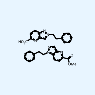 COC(=O)c1ccc2c(cnn2CCc2ccccc2)n1.O=C(O)c1ccc2nn(CCc3ccccc3)cc2n1